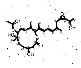 CC(=O)OC1/C=C/C(C)C(/C(C)=C/C=C/C(C)CC2OC2C(C)O)OC(=O)CC(O)CCC1(C)O